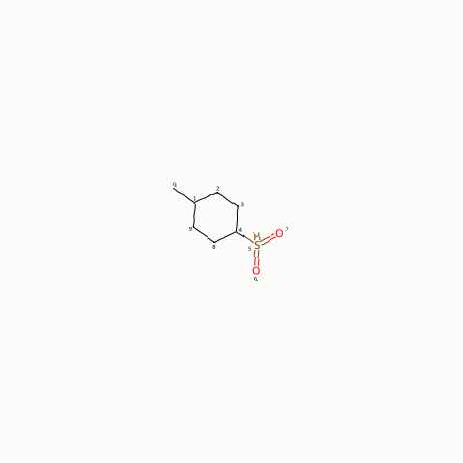 CC1CCC([SH](=O)=O)CC1